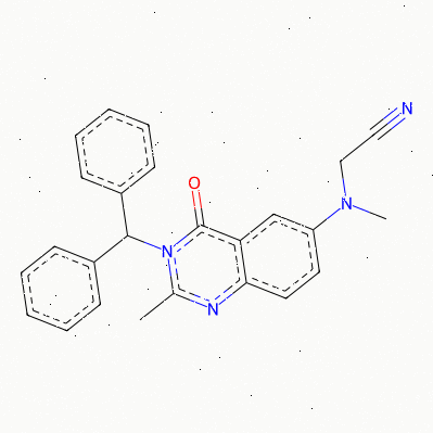 Cc1nc2ccc(N(C)CC#N)cc2c(=O)n1C(c1ccccc1)c1ccccc1